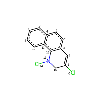 ClC1=Cc2ccc3ccccc3c2N(Cl)C1